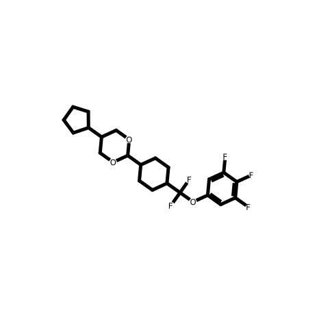 Fc1cc(OC(F)(F)C2CCC(C3OCC(C4CCCC4)CO3)CC2)cc(F)c1F